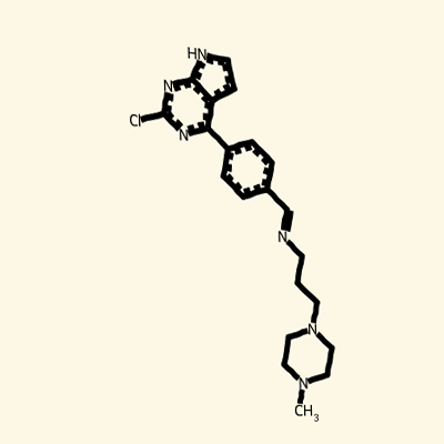 CN1CCN(CCCN=Cc2ccc(-c3nc(Cl)nc4[nH]ccc34)cc2)CC1